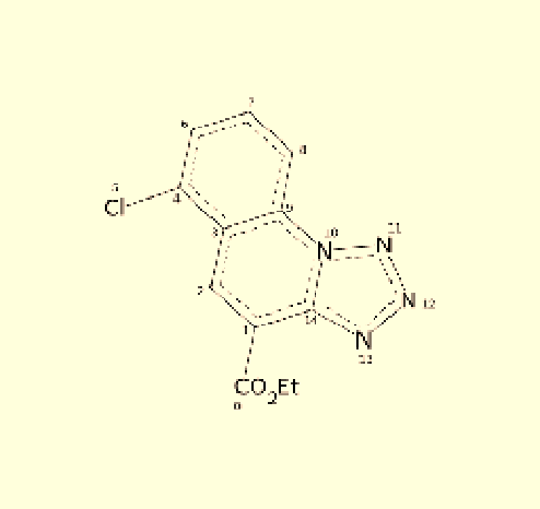 CCOC(=O)c1cc2c(Cl)cccc2n2nnnc12